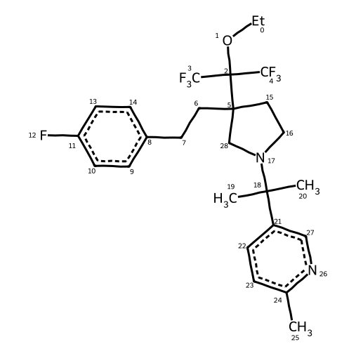 CCOC(C(F)(F)F)(C(F)(F)F)C1(CCc2ccc(F)cc2)CCN(C(C)(C)c2ccc(C)nc2)C1